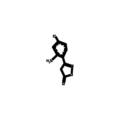 Nc1cc(Cl)ccc1C1=NOC(=O)C1